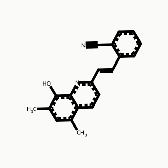 Cc1cc(C)c2ccc(C=Cc3ccccc3C#N)nc2c1O